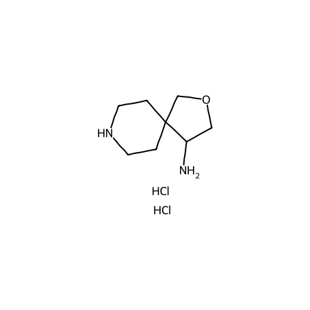 Cl.Cl.NC1COCC12CCNCC2